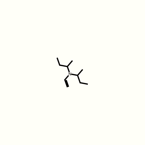 C=CN(C(C)CC)C(C)CC